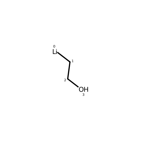 [Li][CH2]CO